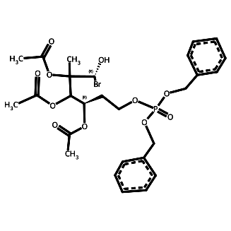 CC(=O)OC([C@@H](CCOP(=O)(OCc1ccccc1)OCc1ccccc1)OC(C)=O)C(C)(OC(C)=O)[C@H](O)Br